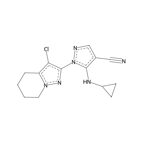 N#Cc1cnn(-c2nn3c(c2Cl)CCCC3)c1NC1CC1